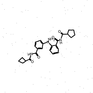 NN(c1cccc(C(=O)NC(=O)C2CCC2)c1)c1cc[c]cc1C(=O)NC(=O)C1CCCC1